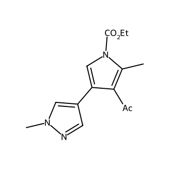 CCOC(=O)n1cc(-c2cnn(C)c2)c(C(C)=O)c1C